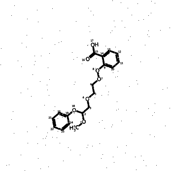 COC(COCCOOc1ccccc1C(=O)O)Oc1ccccc1